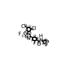 Cc1cc(C2=NOC(c3cc(Cl)cc(Cl)c3)(C(F)(F)F)C2)ccc1C(=O)N[C@@H]1COSC1